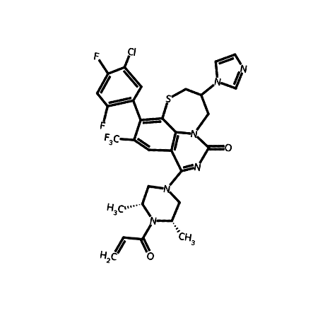 C=CC(=O)N1[C@H](C)CN(c2nc(=O)n3c4c(c(-c5cc(Cl)c(F)cc5F)c(C(F)(F)F)cc24)SCC(n2ccnc2)C3)C[C@@H]1C